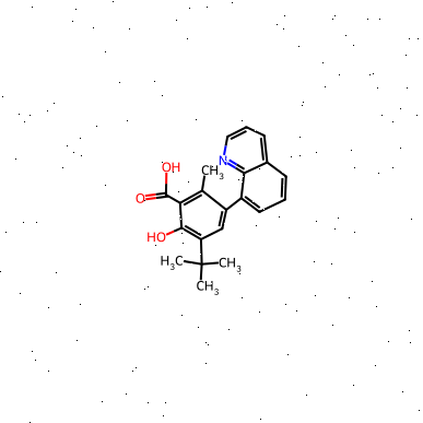 Cc1c(-c2cccc3cccnc23)cc(C(C)(C)C)c(O)c1C(=O)O